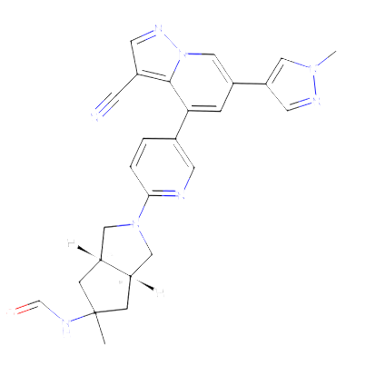 Cn1cc(-c2cc(-c3ccc(N4C[C@@H]5CC(C)(NC=O)C[C@@H]5C4)nc3)c3c(C#N)cnn3c2)cn1